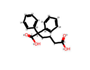 O=C(O)CCCC(C(=O)O)(c1ccccc1)c1ccccc1